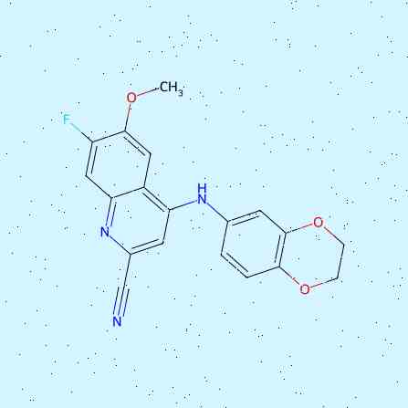 COc1cc2c(Nc3ccc4c(c3)OCCO4)cc(C#N)nc2cc1F